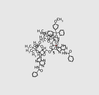 COc1ccc(C(OC[C@H]2O[C@@H](n3cnc4c(NC(=O)c5ccccc5)ncnc43)[C@H](OP(=S)(OCCC#N)OC[C@H]3O[C@@H](n4cnc5c(NC(=O)c6ccccc6)ncnc54)[C@@H]4O[Si](C)(C(C)(C)C)O[PH](=O)O[C@@H]43)[C@@H]2O[Si](C)(C)C(C)(C)C)(c2ccccc2)c2ccc(OC)cc2)cc1